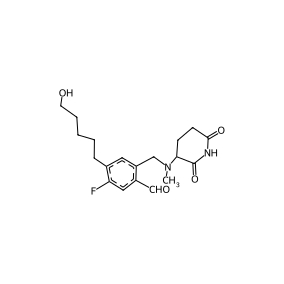 CN(Cc1cc(CCCCCO)c(F)cc1C=O)C1CCC(=O)NC1=O